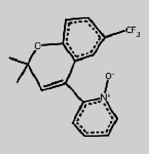 CC1(C)C=C(c2cccc[n+]2[O-])c2cc(C(F)(F)F)ccc2O1